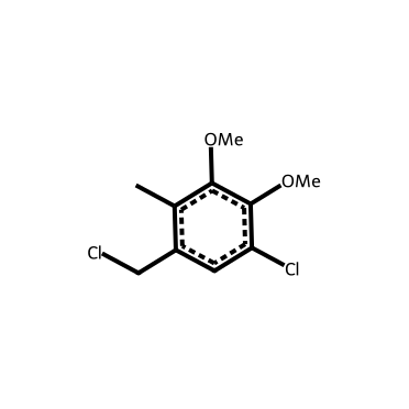 COc1c(Cl)cc(CCl)c(C)c1OC